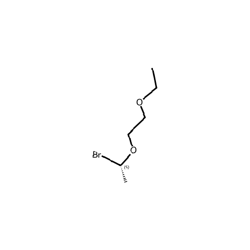 CCOCCO[C@H](C)Br